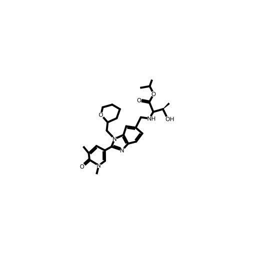 Cc1cc(-c2nc3ccc(CNC(C(=O)OC(C)C)[C@@H](C)O)cc3n2CC2CCCCO2)cn(C)c1=O